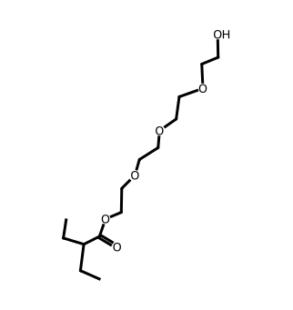 CCC(CC)C(=O)OCCOCCOCCOCCO